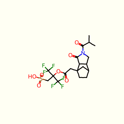 CC(C)C(=O)N1CC2C3CCC(CC(=O)OC(CS(=O)(=O)O)(C(F)(F)F)C(F)(F)F)(C3)C2C1=O